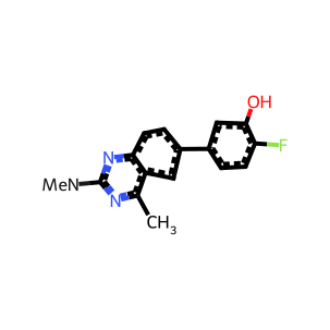 CNc1nc(C)c2cc(-c3ccc(F)c(O)c3)ccc2n1